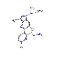 COCC(C)n1cc(C)c2nc(-c3ccc(C(C)C)nc3CCN)c(Cl)cc21